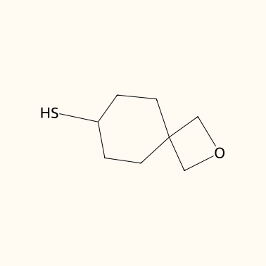 SC1CCC2(CC1)COC2